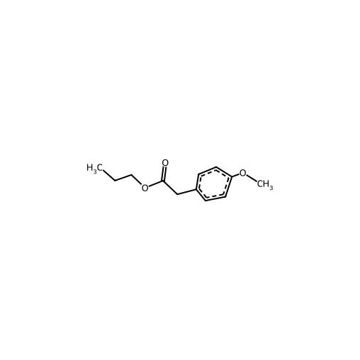 CCCOC(=O)Cc1ccc(OC)cc1